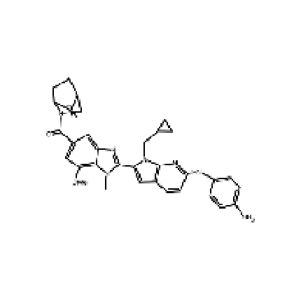 COc1cc(C(=O)N2CC3CCC2[C@@H]3C)cc2nc(-c3cc4ccc(Nc5ccc(N)nc5)nc4n3CC3CC3)n(C)c12